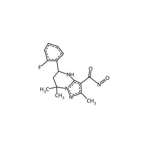 Cc1nn2c(c1C(=O)N=O)NC(c1ccccc1F)CC2(C)C